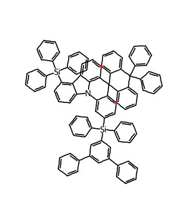 c1ccc(-c2cc(-c3ccccc3)cc([Si](c3ccccc3)(c3ccccc3)c3ccc4c(c3)-n3c5cccc([Si](c6ccccc6)(c6ccccc6)c6ccccc6)c5c5cccc(c53)C43c4ccccc4C(c4ccccc4)(c4ccccc4)c4ccccc43)c2)cc1